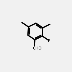 Cc1cc(C)c(F)c(C=O)c1